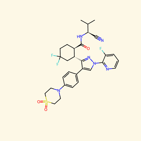 CC(C)[C@@H](C#N)NC(=O)[C@@H]1CCC(F)(F)C[C@H]1c1nn(-c2ncccc2F)cc1-c1ccc(N2CCS(=O)(=O)CC2)cc1